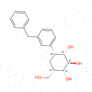 OC[C@@H]1C[C@H](c2cccc(Cc3ccccc3)c2)[C@H](O)[C@@H](O)[C@@H]1O